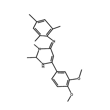 COc1ccc(C2=C/C(=N/c3c(C)cc(C)cc3C)N(C)C(C)N2)cc1OC